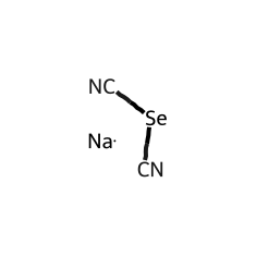 N#C[Se]C#N.[Na]